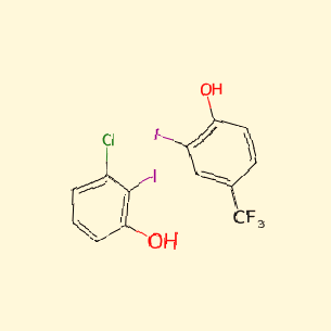 Oc1ccc(C(F)(F)F)cc1I.Oc1cccc(Cl)c1I